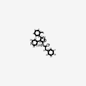 Cc1ccccc1-c1noc(NC(=O)Cc2ccccc2)c1-c1ccncc1